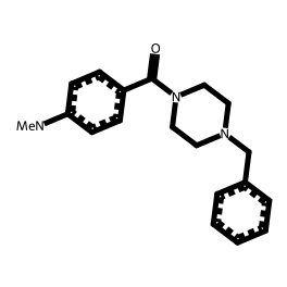 CNc1ccc(C(=O)N2CCN(Cc3ccccc3)CC2)cc1